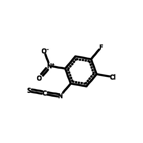 O=[N+]([O-])c1cc(F)c(Cl)cc1N=C=S